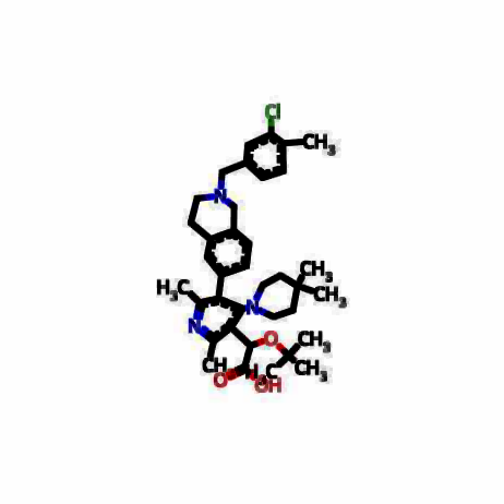 Cc1ccc(CN2CCc3cc(-c4c(C)nc(C)c(C(OC(C)(C)C)C(=O)O)c4N4CCC(C)(C)CC4)ccc3C2)cc1Cl